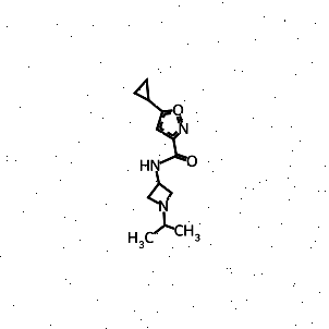 CC(C)N1CC(NC(=O)c2cc(C3CC3)on2)C1